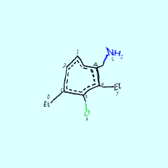 CCc1ccc(N)c(CC)c1Cl